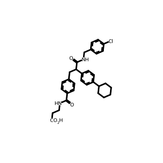 O=C(O)CCNC(=O)c1ccc(CC(C(=O)NCc2ccc(Cl)cc2)c2ccc(C3CCCCC3)cc2)cc1